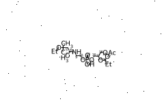 CCOC(C)(C)CC(=O)NCCOP(=O)(O)OCC(COC(C)=O)OC(=O)CC